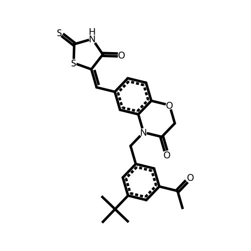 CC(=O)c1cc(CN2C(=O)COc3ccc(C=C4SC(=S)NC4=O)cc32)cc(C(C)(C)C)c1